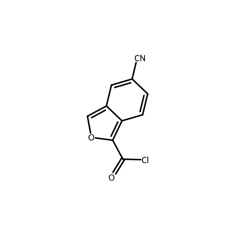 N#Cc1ccc2c(C(=O)Cl)occ2c1